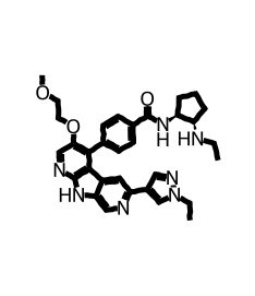 CCN[C@H]1CCC[C@@H]1NC(=O)c1ccc(-c2c(OCCOC)cnc3[nH]c4cnc(-c5cnn(CC)c5)cc4c23)cc1